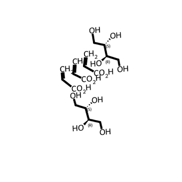 C=CC(=O)O.C=CC(=O)O.C=CC(=O)O.OC[C@@H](O)[C@@H](O)CO.OC[C@@H](O)[C@@H](O)CO